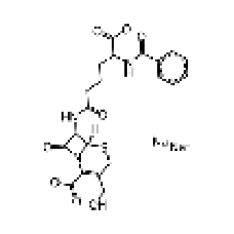 O=C(CCCC(NC(=O)c1ccccc1)C(=O)[O-])N[C@@H]1C(=O)N2C(C(=O)[O-])=C(CO)CS[C@@H]12.[Na+].[Na+]